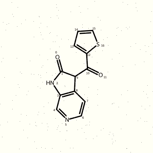 O=C1Nc2cnccc2C1C(=O)c1cccs1